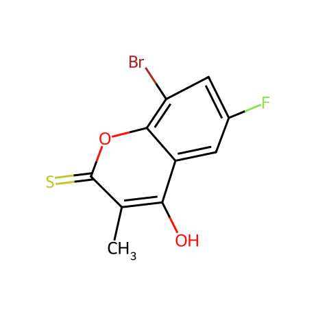 Cc1c(O)c2cc(F)cc(Br)c2oc1=S